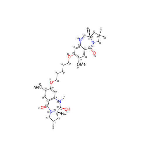 C=C1C[C@H]2[C@H](O)N(C)c3cc(OCCCCCOc4cc5c(cc4OC)C(=O)N4CC(C)(C)C[C@H]4C=N5)c(OC)cc3C(=O)N2C1